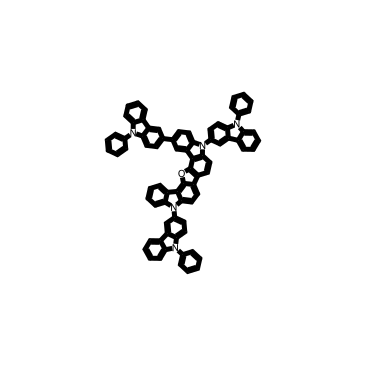 c1ccc(-n2c3ccccc3c3cc(-c4ccc5c(c4)c4c6oc7c(ccc8c7c7ccccc7n8-c7ccc8c(c7)c7ccccc7n8-c7ccccc7)c6ccc4n5-c4ccc5c(c4)c4ccccc4n5-c4ccccc4)ccc32)cc1